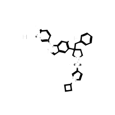 Cc1cc2c(cnn2-c2ccc(=O)n(C)c2)cc1C1(Cc2ccccc2)CCN(S(=O)(=O)c2ccn(C3CCC3)c2)C1